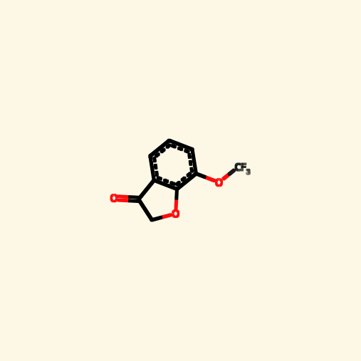 O=C1COc2c(OC(F)(F)F)cccc21